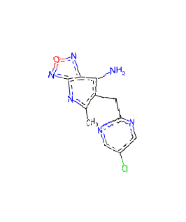 Cc1nc2nonc2c(N)c1Cc1ncc(Cl)cn1